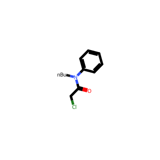 CCCCN(C(=O)CCl)c1ccccc1